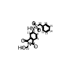 O=C1c2ccc(NS(=O)(=O)Cc3ccccc3)cc2C(=O)N1CO